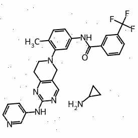 Cc1ccc(NC(=O)c2cccc(C(F)(F)F)c2)cc1N1CCc2nc(Nc3cccnc3)ncc2C1.NC1CC1